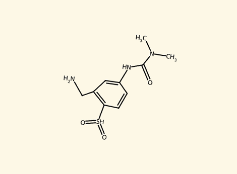 CN(C)C(=O)Nc1ccc([SH](=O)=O)c(CN)c1